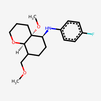 COCC1CC[C@H](Nc2ccc(F)cc2)[C@]2(OC)CCCO[C@H]12